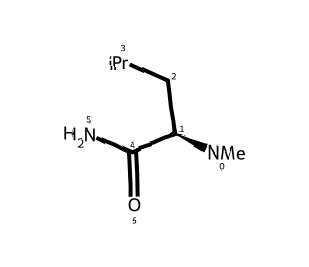 CN[C@H](CC(C)C)C(N)=O